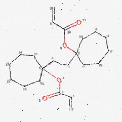 C=CC(=O)OC1(CCC2(OC(=O)C=C)CCCCCC2)CCCCCC1